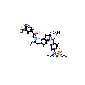 CC(Cc1ccc2c(c1)cc(C(=O)O)n2Cc1ccc(N(C)S(=O)(=O)C(F)(F)F)cc1)NCC(O)c1cnc(N)c(Cl)c1